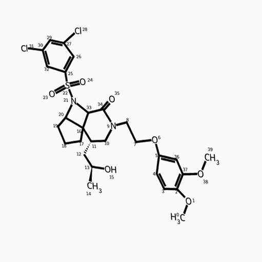 COc1ccc(OCCN2C[C@H](C[C@H](C)O)C34CCCC3N(S(=O)(=O)c3cc(Cl)cc(Cl)c3)C4C2=O)cc1OC